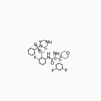 C[C@@H]1CNC[C@H](CCc2c(F)cccc2NC(=O)[C@@H](N)[C@@H](c2cc(F)cc(F)c2)C2CCOCC2)N1S(=O)(=O)c1ccccc1